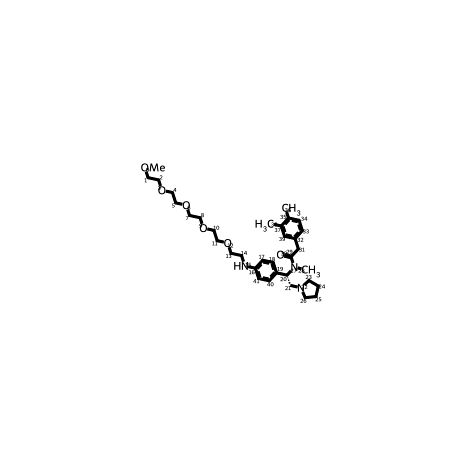 COCCOCCOCCOCCOCCNc1ccc([C@@H](CN2CCCC2)N(C)C(=O)Cc2ccc(C)c(C)c2)cc1